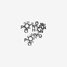 O=C(NCc1ccc(F)c(Cl)c1)c1cc(C(=O)NCc2ccc(F)c(Cl)c2)n2ncnc2n1